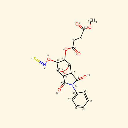 COC(=O)CCC(=O)OC1C(ON=S)C2OC1C1C(=O)N(c3ccccc3)C(=O)C21